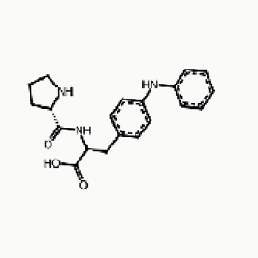 O=C(O)[C@H](Cc1ccc(Nc2ccccc2)cc1)NC(=O)[C@@H]1CCCN1